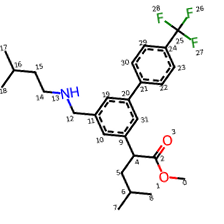 COC(=O)C(CC(C)C)c1cc(CNCCC(C)C)cc(-c2ccc(C(F)(F)F)cc2)c1